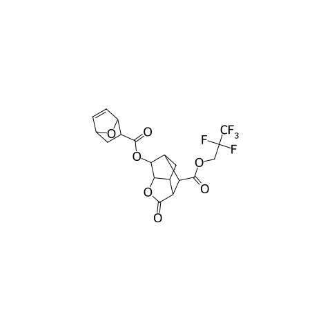 O=C(OC1C2CC3C1OC(=O)C3C2C(=O)OCC(F)(F)C(F)(F)F)C1CC2C=CC1O2